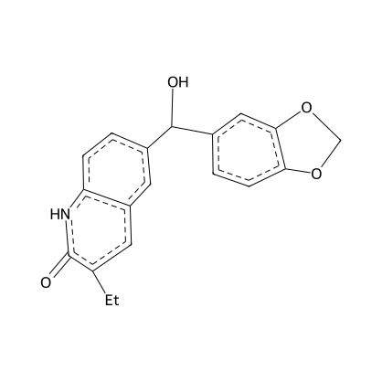 CCc1cc2cc(C(O)c3ccc4c(c3)OCO4)ccc2[nH]c1=O